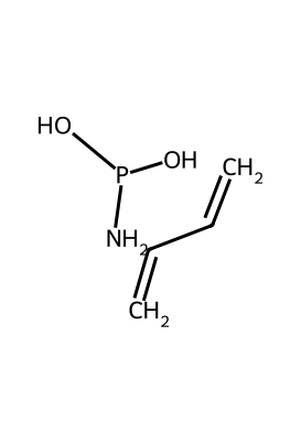 C=CC=C.NP(O)O